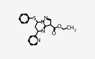 CCOC(=O)C1C=NN2C1=NC(c1ccccn1)CC2Sc1ccccc1